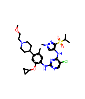 COCCN1CCC(c2cc(OC3CC3)c(Nc3ncc(Cl)c(Nc4cn(C)nc4S(=O)(=O)C(C)C)n3)cc2C)CC1